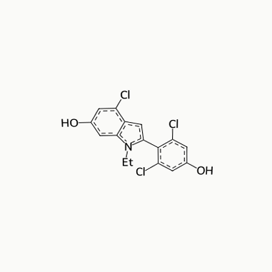 CCn1c(-c2c(Cl)cc(O)cc2Cl)cc2c(Cl)cc(O)cc21